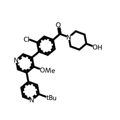 COc1c(-c2ccnc(C(C)(C)C)c2)cncc1-c1ccc(C(=O)N2CCC(O)CC2)cc1Cl